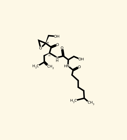 C=C(C)C[C@H](NC(=O)C(CO)NC(=O)CCCCC(C)C)C(=O)[C@@]1(CO)CO1